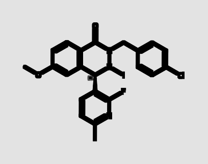 COc1ccc2c(c1)[C@H](c1ccc(C)nc1F)N(I)N(Cc1ccc(Cl)cc1)C2=O